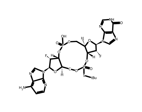 CC(C)(C)SP1(=O)OC[C@H]2O[C@@H](n3cnc4c(N)ccnc43)[C@H](F)[C@@H]2OP(=O)(O)OC[C@H]2O[C@@H](n3cnc4c(=O)[nH]cnc43)[C@H](F)[C@@H]2O1